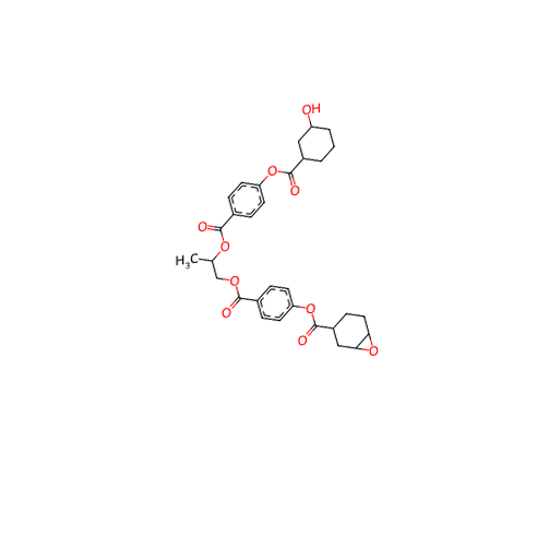 CC(COC(=O)c1ccc(OC(=O)C2CCC3OC3C2)cc1)OC(=O)c1ccc(OC(=O)C2CCCC(O)C2)cc1